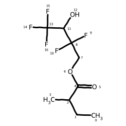 CCC(C)C(=O)OCC(F)(F)C(O)C(F)(F)F